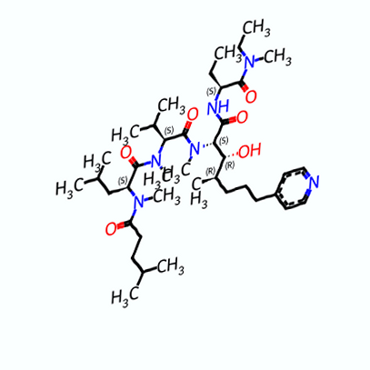 CC[C@H](NC(=O)[C@H]([C@H](O)[C@H](C)CCCc1ccncc1)N(C)C(=O)[C@H](C(C)C)N(C)C(=O)[C@H](CC(C)C)N(C)C(=O)CCC(C)C)C(=O)N(C)CC